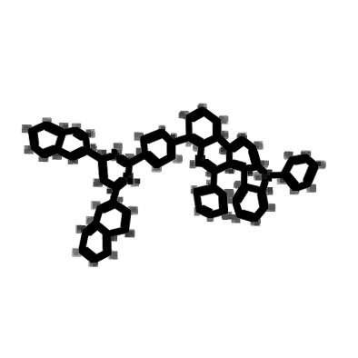 c1ccc(-c2nc3c(-c4ccc(-c5nc(-c6ccc7ccccc7c6)cc(-c6ccc7ccccc7c6)n5)cc4)cccc3c3ccc4c(c5ccccc5n4-c4ccccc4)c23)cc1